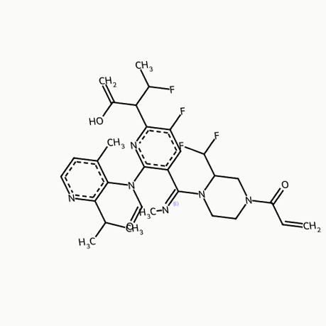 C=CC(=O)N1CCN(/C(=N/C)c2cc(F)c(C(C(=C)O)C(C)F)nc2N(C=O)c2c(C)ccnc2C(C)C)C(C(F)F)C1